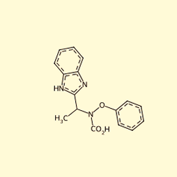 CC(c1nc2ccccc2[nH]1)N(Oc1ccccc1)C(=O)O